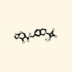 Nc1c(N2CCc3ccc(CNC(=O)c4cnc5n(c4=O)CCS5)cc3C2)c(=O)c1=O